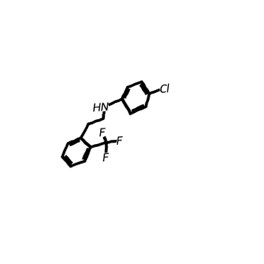 FC(F)(F)c1ccccc1CCNc1ccc(Cl)cc1